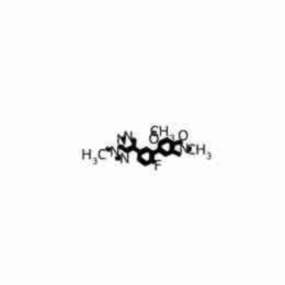 CCn1cnc2c(-c3ccc(F)c(-c4cc5c(cc4OC)C(=O)N(C)C5)c3)cnnc21